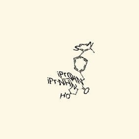 Cc1ncsc1-c1ccc(CNC(=O)[C@@H]2C[C@@H](O)CN2C(=O)[C@@H](NC(C)C)C(C)C)cc1